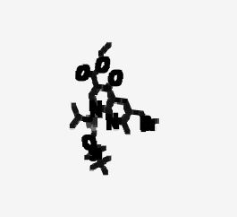 CCOC(=O)c1cn([C@H](CO[Si](C)(C)C(C)(C)C)C(C)C)c2nc(C)c(CBr)cc2c1=O